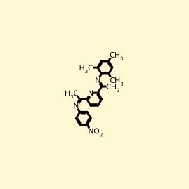 CC(=Nc1ccc([N+](=O)[O-])cc1)c1cccc(C(C)=Nc2c(C)cc(C)cc2C)n1